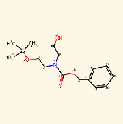 CC(C)(C)[Si](C)(C)OCCN(CCO)C(=O)OCc1ccccc1